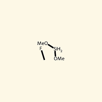 CF.CO[SiH2]OC